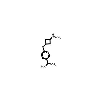 CNC1CC(Oc2ccc(C(C)C)cn2)C1